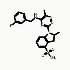 Cc1nnc(N2c3cccc(S(N)(=O)=O)c3CC2C)nc1NCc1cccc(F)c1